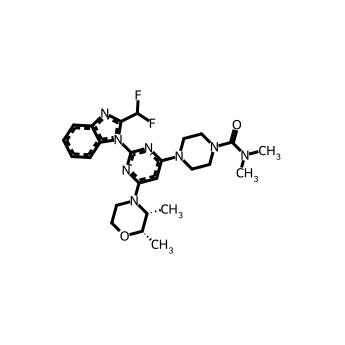 C[C@@H]1OCCN(c2cc(N3CCN(C(=O)N(C)C)CC3)nc(-n3c(C(F)F)nc4ccccc43)n2)[C@@H]1C